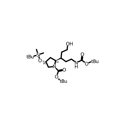 CC(C)(C)OC(=O)NCCC(CCO)[C@@H]1C[C@@H](O[Si](C)(C)C(C)(C)C)CN1C(=O)OC(C)(C)C